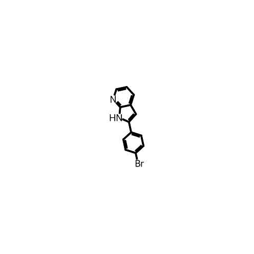 Brc1ccc(-c2cc3cccnc3[nH]2)cc1